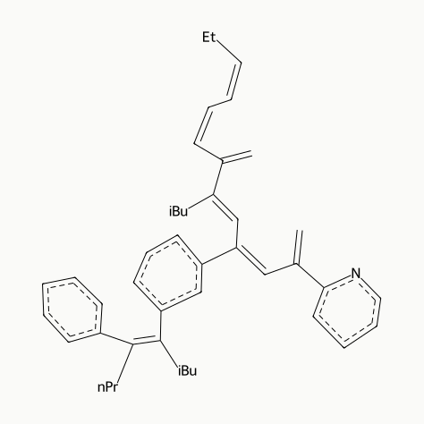 C=C(/C=C\C=C/CC)/C(=C/C(=C\C(=C)c1ccccn1)c1cccc(/C(=C(/CCC)c2ccccc2)C(C)CC)c1)C(C)CC